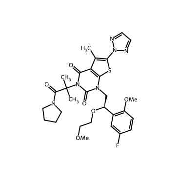 COCCO[C@@H](Cn1c(=O)n(C(C)(C)C(=O)N2CCCC2)c(=O)c2c(C)c(-n3nccn3)sc21)c1cc(F)ccc1OC